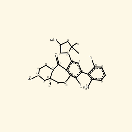 COC1CN(c2nc(-c3c(N)cccc3F)c(F)c3c2C(=O)N2CCN(C(C)=O)C[C@@H]2CO3)C(C)(C)C1